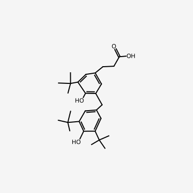 CC(C)(C)c1cc(CCC(=O)O)cc(Cc2cc(C(C)(C)C)c(O)c(C(C)(C)C)c2)c1O